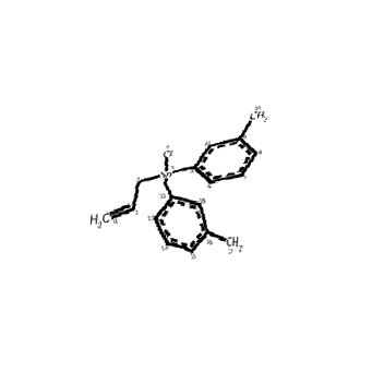 C=C[CH2][Sn]([Cl])([c]1cccc(C)c1)[c]1cccc(C)c1